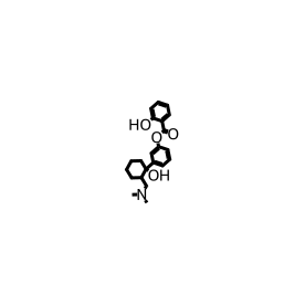 CN(C)CC1CCCCC1(O)c1cccc(OC(=O)c2ccccc2O)c1